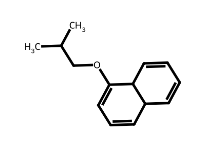 CC(C)COC1=CC=CC2C=CC=CC12